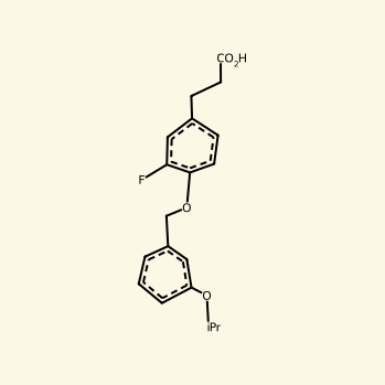 CC(C)Oc1cccc(COc2ccc(CCC(=O)O)cc2F)c1